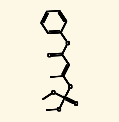 COP(=O)(OC)O/C(C)=C/C(=O)Oc1ccccc1